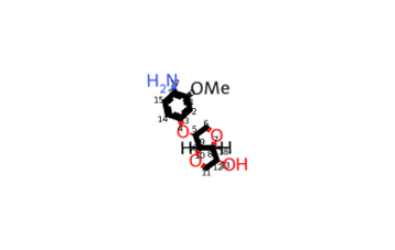 COc1cc(O[C@@H]2CO[C@H]3[C@@H]2OC[C@H]3O)ccc1N